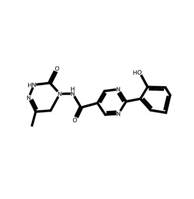 CC1=NNC(=O)N(NC(=O)c2cnc(-c3ccccc3O)nc2)C1